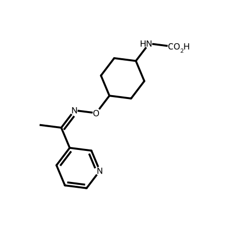 CC(=NOC1CCC(NC(=O)O)CC1)c1cccnc1